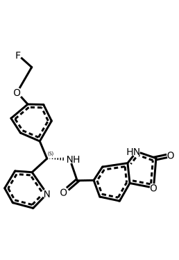 O=C(N[C@@H](c1ccc(OCF)cc1)c1ccccn1)c1ccc2oc(=O)[nH]c2c1